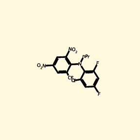 CCCN(c1c(F)cc(F)cc1Cl)c1c([N+](=O)[O-])cc([N+](=O)[O-])cc1C(F)(F)F